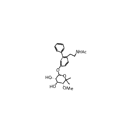 CO[C@@H]1[C@@H](O)[C@H](O)C(Oc2ccc(CCNC(C)=O)c(-c3ccccc3)c2)OC1(C)C